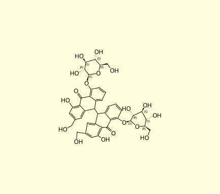 O=C1c2c(O)cc(CO)cc2C(C2c3cc(CO)cc(O)c3C(=O)c3c(O[C@@H]4O[C@H](CO)[C@@H](O)[C@H](O)[C@H]4O)cccc32)c2cccc(O[C@@H]3O[C@H](CO)[C@@H](O)[C@H](O)[C@H]3O)c21